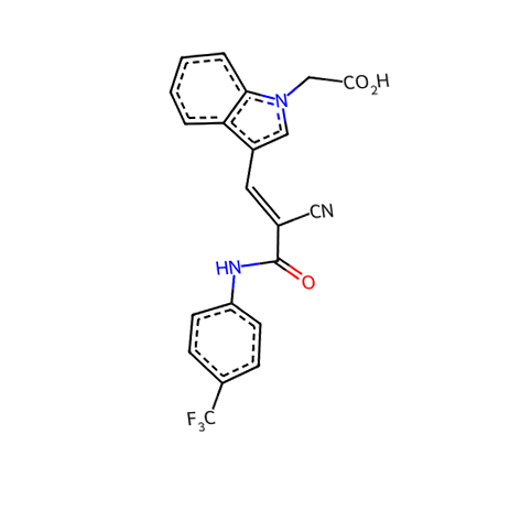 N#C/C(=C\c1cn(CC(=O)O)c2ccccc12)C(=O)Nc1ccc(C(F)(F)F)cc1